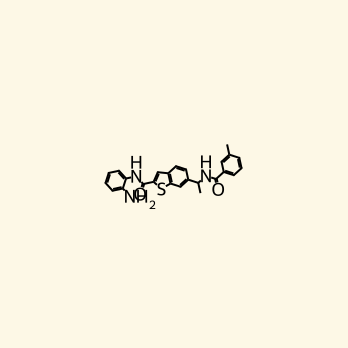 Cc1cccc(C(=O)NC(C)c2ccc3cc(C(=O)Nc4ccccc4N)sc3c2)c1